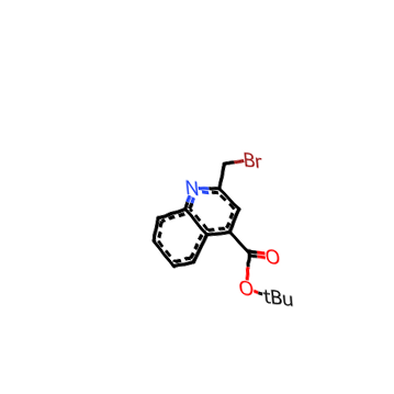 CC(C)(C)OC(=O)c1cc(CBr)nc2ccccc12